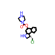 O=C(Oc1cc2c(c3ccccc13)[C@H](CCl)CN2)N1CCNCC1